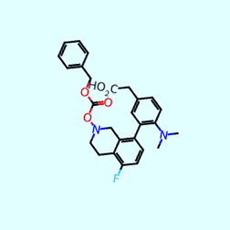 CN(C)c1ccc(CC(=O)O)cc1-c1ccc(F)c2c1CN(OC(=O)OCc1ccccc1)CC2